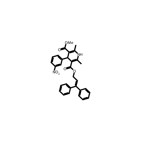 COC(=O)C1=C(C)NC(C)=C(C(=O)OCC=C(c2ccccc2)c2ccccc2)C1c1cccc([N+](=O)[O-])c1